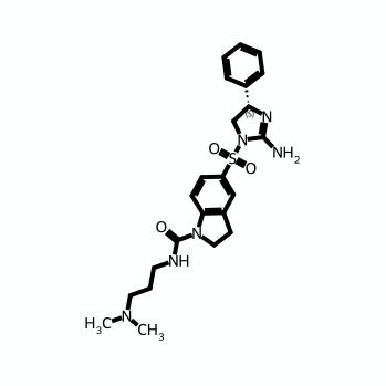 CN(C)CCCNC(=O)N1CCc2cc(S(=O)(=O)N3C[C@H](c4ccccc4)N=C3N)ccc21